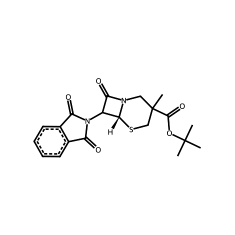 CC(C)(C)OC(=O)C1(C)CS[C@@H]2C(N3C(=O)c4ccccc4C3=O)C(=O)N2C1